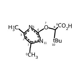 Cc1cc(C)nc(OC(C(=O)O)C(C)(C)C)n1